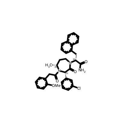 COc1ccccc1CC(=O)N1[C@H](C)CCN([C@H](Cc2cccc3ccccc23)C(N)=O)C(=O)[C@@H]1c1cccc(Cl)c1